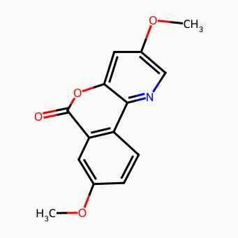 COc1cnc2c(c1)oc(=O)c1cc(OC)ccc12